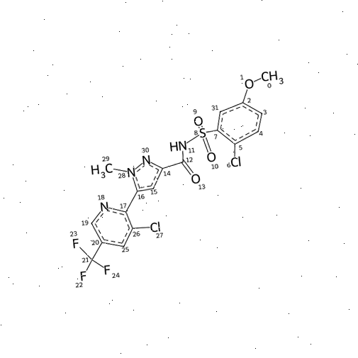 COc1ccc(Cl)c(S(=O)(=O)NC(=O)c2cc(-c3ncc(C(F)(F)F)cc3Cl)n(C)n2)c1